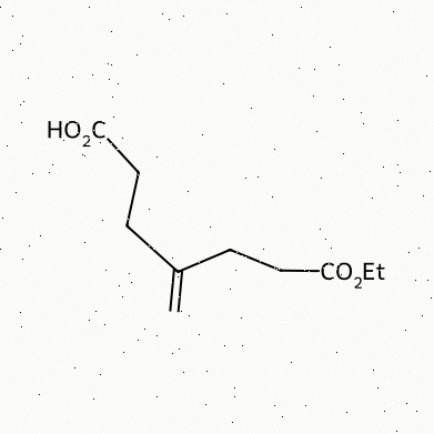 C=C(CCC(=O)O)CCC(=O)OCC